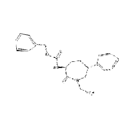 O=C(O)CN1C[C@@H](c2ccccc2)SC[C@H](NC(=O)OCc2ccccc2)C1=O